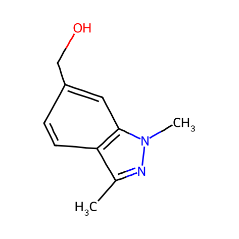 Cc1nn(C)c2cc(CO)ccc12